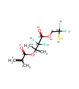 C=C(C)C(=O)OC(C)(C)C(F)(F)C(=O)OCC(F)(F)S